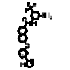 Nc1cc(NC(=O)c2ccc3ccc(Oc4ccnc(C5=NCCN5)c4)cc3c2)cc(C(F)(F)F)c1